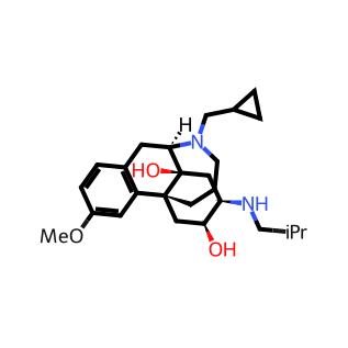 COc1ccc2c(c1)[C@]13CCCN(CC4CC4)[C@H](C2)[C@]1(O)C[C@@H](NCC(C)C)[C@@H](O)C3